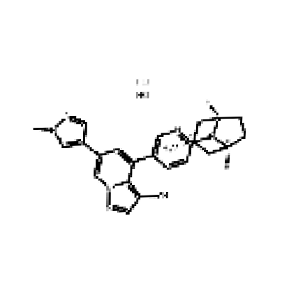 Cl.Cl.Cn1cc(-c2cc(-c3ccc(N4[C@@H]5CC[C@H]4C[C@@H](N)C5)nc3)c3c(C#N)cnn3c2)cn1